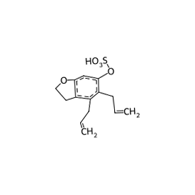 C=CCc1c(OS(=O)(=O)O)cc2c(c1CC=C)CCO2